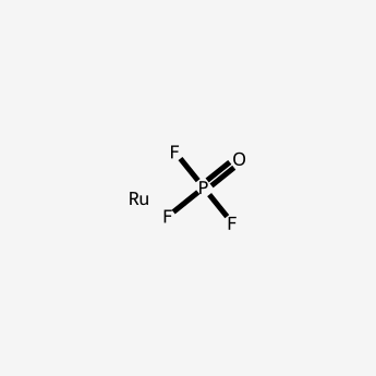 O=P(F)(F)F.[Ru]